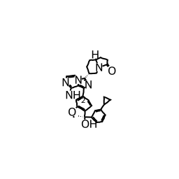 COc1cc(-c2nc([C@@H]3CC[C@H]4CCC(=O)N4C3)n3ccnc(N)c23)ccc1[C@](C)(O)c1cccc(C2CC2)c1